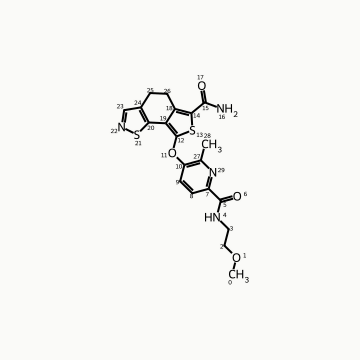 COCCNC(=O)c1ccc(Oc2sc(C(N)=O)c3c2-c2sncc2CC3)c(C)n1